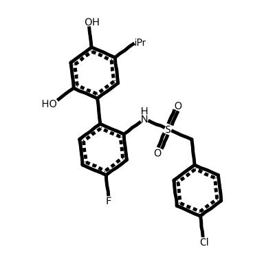 CC(C)c1cc(-c2ccc(F)cc2NS(=O)(=O)Cc2ccc(Cl)cc2)c(O)cc1O